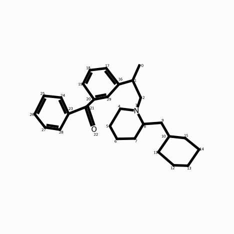 CC(CN1CCCCC1CC1CCCCC1)c1cccc(C(=O)c2ccccc2)c1